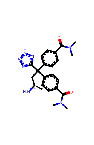 C[C@@H](N)CC(c1ccc(C(=O)N(C)C)cc1)(c1ccc(C(=O)N(C)C)cc1)c1nn[nH]n1